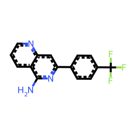 Nc1nc(-c2ccc(C(F)(F)F)cc2)cc2ncccc12